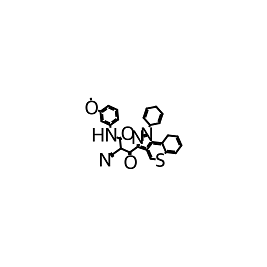 COc1cccc(NC(=O)C(C#N)C(=O)c2nn(C3C=CCC=C3)c3c2=CSC2=CC=CCC=32)c1